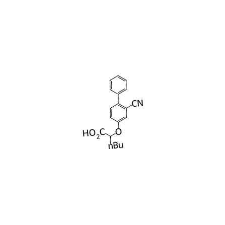 CCCCC(Oc1ccc(-c2ccccc2)c(C#N)c1)C(=O)O